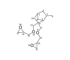 CC1CC2CC1C(COCC1CO1)(COCC1CO1)C2